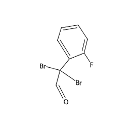 O=CC(Br)(Br)c1ccccc1F